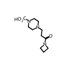 O=C(O)N1CCN(CCC(=O)N2CCC2)CC1